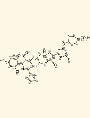 COC(=O)C1=C(CN2CCN3C(=O)N(c4cc(F)cc(OC5CCC(C(=O)O)CC5)c4)C[C@@H]3C2)NC(c2nccs2)=NC1c1ccc(F)cc1Cl